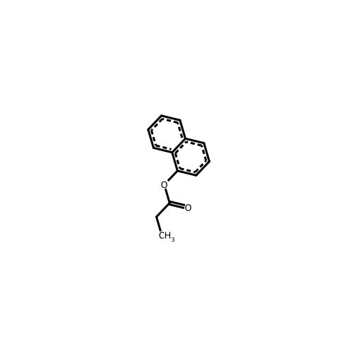 CCC(=O)Oc1cccc2ccccc12